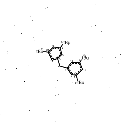 CC(C)(C)c1cc([CH]c2cc(C(C)(C)C)cc(C(C)(C)C)c2)cc(C(C)(C)C)c1